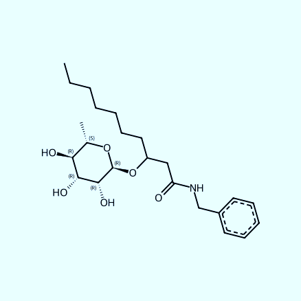 CCCCCCCC(CC(=O)NCc1ccccc1)O[C@@H]1O[C@@H](C)[C@H](O)[C@@H](O)[C@H]1O